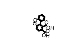 O=C(O)c1ccc2c(c1C(=O)O)-c1ccccc1OO2